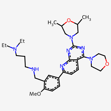 CCN(CC)CCCNCc1cc(-c2ccc3c(N4CCOCC4)nc(N4CC(C)OC(C)C4)nc3n2)ccc1OC